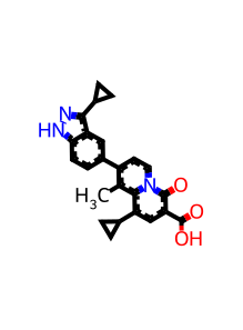 Cc1c(-c2ccc3[nH]nc(C4CC4)c3c2)ccn2c(=O)c(C(=O)O)cc(C3CC3)c12